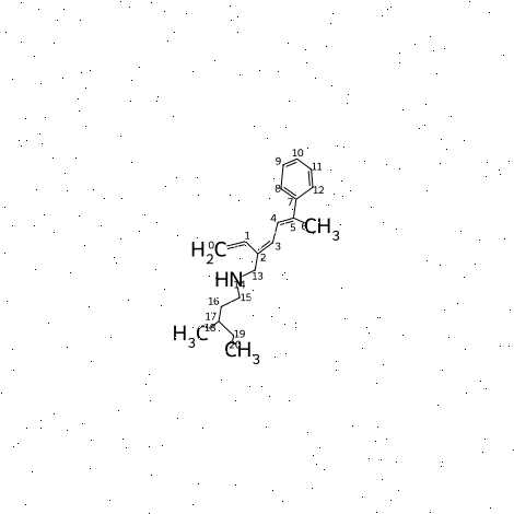 C=C/C(=C\C=C(/C)c1ccccc1)CNCCC(C)CC